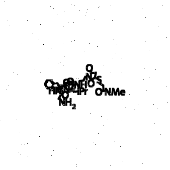 CNC(=O)CCSC1CC(=O)N(CCCNC(=O)[C@H](CC(C)C)NC(=O)[C@H](Cc2ccccc2)NC(=O)CN)C1=O